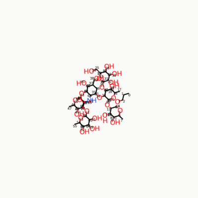 CCCO[C@@H]1OC(C)[C@H](O)[C@H](O)C1O[C@@H]1OC(C)[C@H](O)[C@H](O[C@H]2O[C@@H](CO)[C@@H](O)C(O)C2O)C1O[C@@H]1CC(CO)[C@@H](O)[C@H](O[C@@H]2OC(C)[C@H](O)[C@H](O[C@@H]3OC(C)[C@H](O)[C@H](O)C3O)C2C)C1NC(C)=O